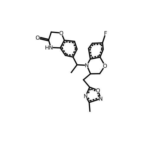 Cc1noc(CC2COc3cc(F)ccc3N2C(C)c2ccc3c(c2)NC(=O)CO3)n1